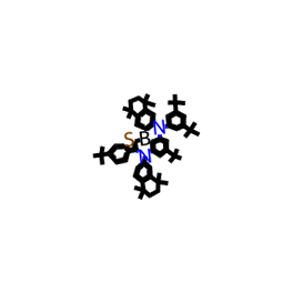 CC(C)(C)c1cc(N2c3cc4c(cc3B3c5sc6cc(C(C)(C)C)ccc6c5N(c5ccc6c(c5)C(C)(C)CCC6(C)C)c5cc(C(C)(C)C)cc2c53)C(C)(C)CCC4(C)C)cc(C(C)(C)C)c1